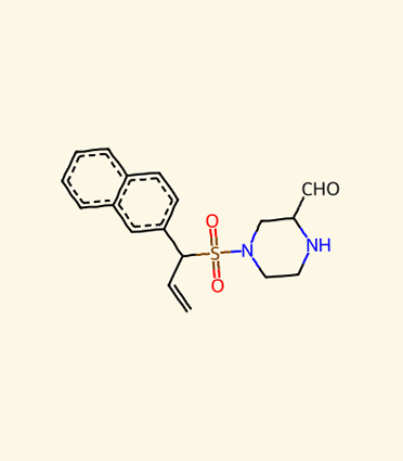 C=CC(c1ccc2ccccc2c1)S(=O)(=O)N1CCNC(C=O)C1